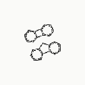 c1ccc2c(c1)-c1ccccc1-2.c1ccc2c(c1)Cc1ccccc1-2